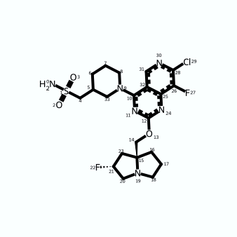 NS(=O)(=O)CC1CCCN(c2nc(OC[C@@]34CCCN3C[C@H](F)C4)nc3c(F)c(Cl)ncc23)C1